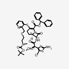 CO/N=C(\C(=O)N[C@@H]1C(=O)N2C(C(=O)OC(c3ccccc3)c3ccccc3)=C(Sc3cccnc3CSCCN(C)C(=O)OC(C)(C)C)CC[C@H]12)c1nc(N)sc1Cl